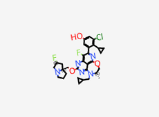 C[C@H]1COc2nc(-c3cc(O)cc(Cl)c3C3CC3)c(F)c3nc(OC[C@@]45CCCN4C[C@H](F)C5)nc(c23)N1CC1CC1